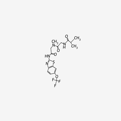 CC(C)C(=O)NCC(=O)N(C)CC(=O)Nc1nc2ccc(OC(F)(F)F)cc2s1